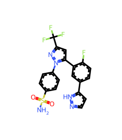 NS(=O)(=O)c1ccc(-n2nc(C(F)(F)F)cc2-c2cc(-c3ccn[nH]3)ccc2F)cc1